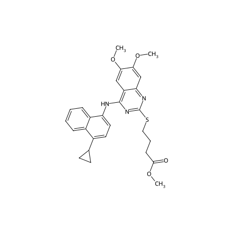 COC(=O)CCCSc1nc(Nc2ccc(C3CC3)c3ccccc23)c2cc(OC)c(OC)cc2n1